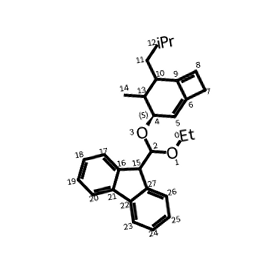 CCOC(O[C@@H]1C=C2CC=C2C(CC(C)C)C1C)C1c2ccccc2-c2ccccc21